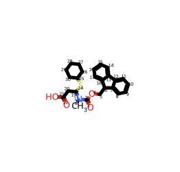 CN(C(=O)OCC1c2ccccc2-c2ccccc21)C(CC(=O)O)SC1CCCCC1